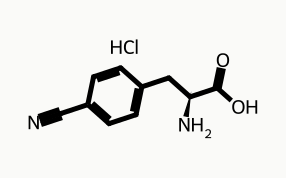 Cl.N#Cc1ccc(C[C@H](N)C(=O)O)cc1